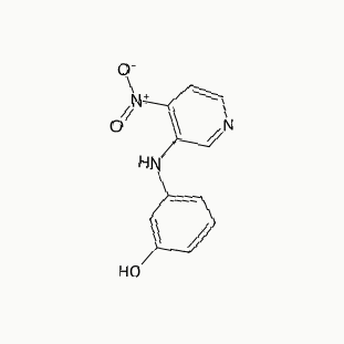 O=[N+]([O-])c1ccncc1Nc1cccc(O)c1